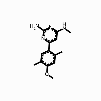 CNc1cc(-c2cc(C)c(OC)cc2C)nc(N)n1